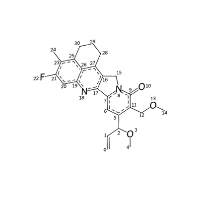 C=CC(OC)c1cc2n(c(=O)c1COC)Cc1c-2nc2cc(F)c(C)c3c2c1CCC3